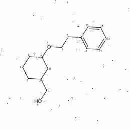 OCC1CCCC(OCCc2ccccc2)C1